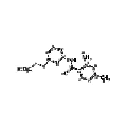 CCOC(=O)CCc1cccc(NC(=O)c2ccc(C)cc2N)c1